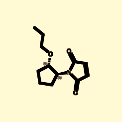 CCCO[C@H]1CCC[C@@H]1N1C(=O)C=CC1=O